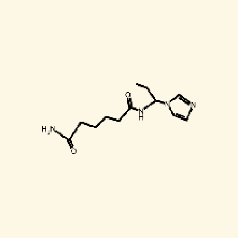 CCC(NC(=O)CCCCC(N)=O)n1ccnc1